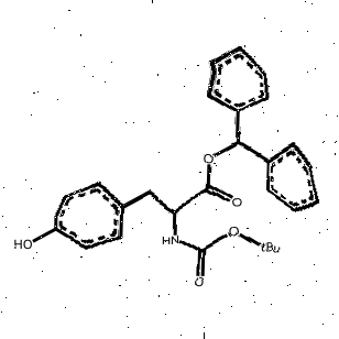 CC(C)(C)OC(=O)NC(Cc1ccc(O)cc1)C(=O)OC(c1ccccc1)c1ccccc1